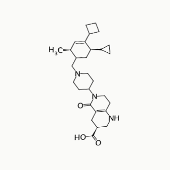 C[C@H]1C=C(C2CCC2)[C@@H](C2CC2)CC1CN1CCC(N2CCC3=C(C[C@H](C(=O)O)CN3)C2=O)CC1